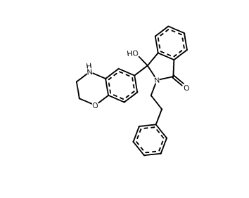 O=C1c2ccccc2C(O)(c2ccc3c(c2)NCCO3)N1CCc1ccccc1